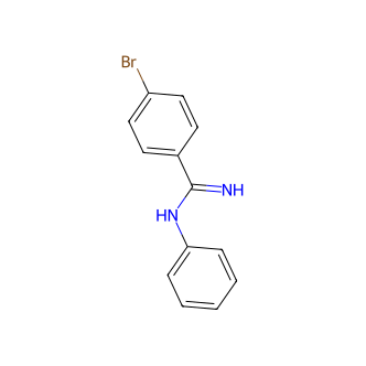 N=C(Nc1ccccc1)c1ccc(Br)cc1